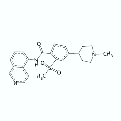 CN1CCC(c2ccc(C(=O)Nc3cccc4cnccc34)c(S(C)(=O)=O)c2)CC1